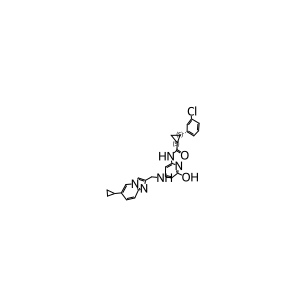 O=C(Nc1cc(NCc2cn3cc(C4CC4)ccc3n2)cc(O)n1)[C@H]1C[C@@H]1c1cccc(Cl)c1